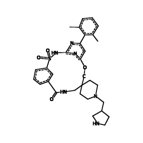 Cc1cccc(C)c1-c1cc2nc(n1)NS(=O)(=O)c1cccc(c1)C(=O)NCC1(CCN(CC3CCNC3)CC1)CO2